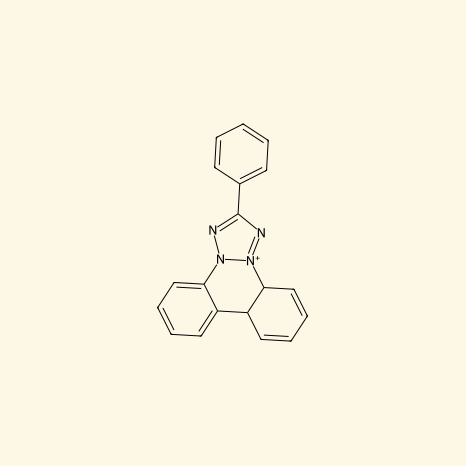 C1=CC2c3ccccc3-n3nc(-c4ccccc4)n[n+]3C2C=C1